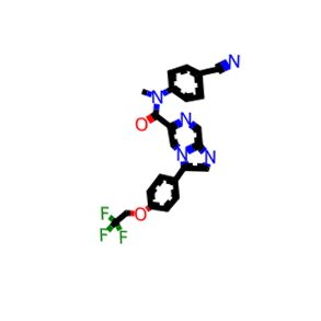 CN(C(=O)c1cn2c(-c3ccc(OCC(F)(F)F)cc3)cnc2cn1)c1ccc(C#N)cc1